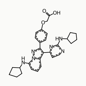 O=C(O)COc1ccc(-c2nn3c(NC4CCCC4)cccc3c2-c2ccnc(NC3CCCC3)n2)cc1